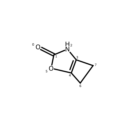 O=c1[nH]c2c(o1)CC2